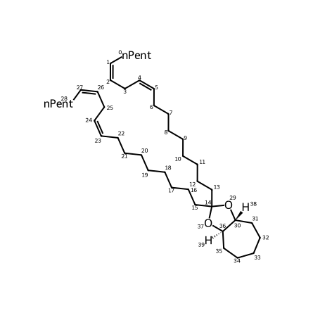 CCCCC/C=C\C/C=C\CCCCCCCCC1(CCCCCCCC/C=C\C/C=C\CCCCC)O[C@@H]2CCCCC[C@H]2O1